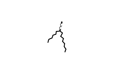 C=C=C=C(CCCCCC)CCCCCCCC